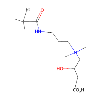 CCC(C)(C)C(=O)NCCC[N+](C)(C)CC(O)CC(=O)O